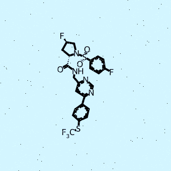 O=C(NCc1cc(-c2ccc(SC(F)(F)F)cc2)ncn1)[C@@H]1C[C@@H](F)CN1S(=O)(=O)c1ccc(F)cc1